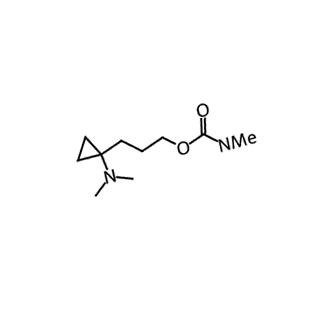 CNC(=O)OCCCC1(N(C)C)CC1